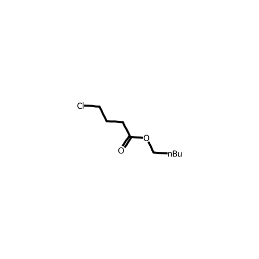 CCCCCOC(=O)CCCCl